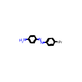 CCCc1ccc(N=Nc2ccc(N)cc2)cc1